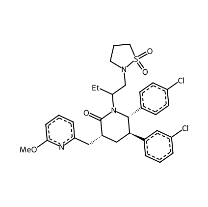 CCC(CN1CCCS1(=O)=O)N1C(=O)[C@@H](Cc2cccc(OC)n2)C[C@H](c2cccc(Cl)c2)[C@H]1c1ccc(Cl)cc1